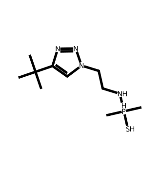 CC(C)(C)c1cn(CCN[PH](C)(C)S)nn1